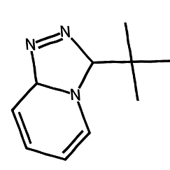 CC(C)(C)C1N=NC2C=CC=CN21